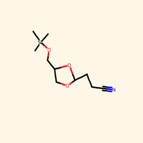 C[Si](C)(C)OCC1COC(CCC#N)O1